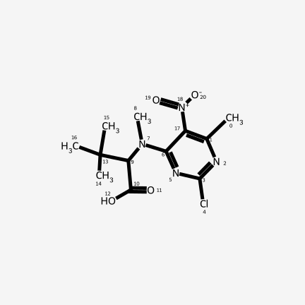 Cc1nc(Cl)nc(N(C)C(C(=O)O)C(C)(C)C)c1[N+](=O)[O-]